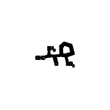 NN(C=O)C(=O)c1ccccc1[N+](=O)[O-]